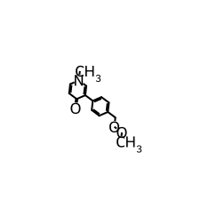 COOCc1ccc(-c2cn(C)ccc2=O)cc1